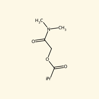 CC(C)C(=O)OCC(=O)N(C)C